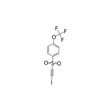 O=S(=O)(C#CI)c1ccc(OC(F)(F)F)cc1